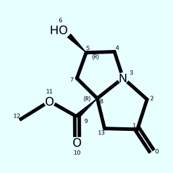 C=C1CN2C[C@H](O)C[C@@]2(C(=O)OC)C1